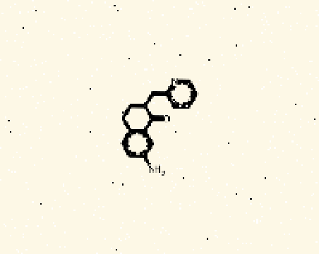 Nc1ccc2c(c1)C(=O)C(Cc1ccccn1)CC2